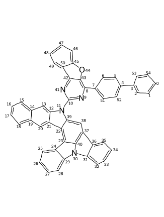 c1ccc(-c2ccc(-c3nc(-n4c5cc6ccccc6cc5c5c6c7ccccc7n7c8ccccc8c(cc54)c67)nc4c3oc3ccccc34)cc2)cc1